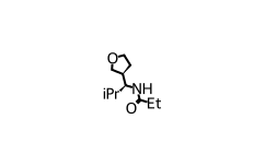 CCC(=O)N[C@@H](C(C)C)[C@@H]1CCOC1